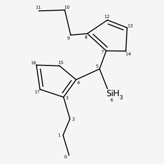 CCCC1=C(C([SiH3])C2=C(CCC)C=CC2)CC=C1